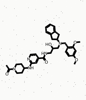 COc1ccc(CN(CC(O)CNC(=O)c2ccnc(NC3CCN(C(C)=O)CC3)c2)C2Cc3ccccc3C2)c(OC)c1